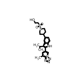 Cc1cc(-c2[nH]c3ccc(C4CCN(S(=O)(=O)CCO)CC4)cc3c2C(C)C)cn2nnnc12